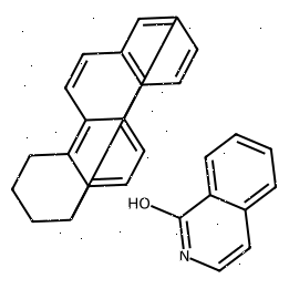 Oc1nccc2ccccc12.c1cc2c3ccc4c5c(ccc42)C(CCC5)c1c3